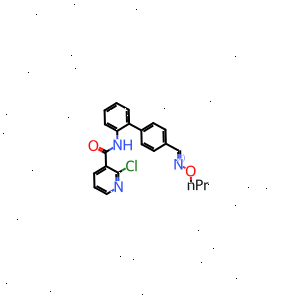 CCCO/N=C/c1ccc(-c2ccccc2NC(=O)c2cccnc2Cl)cc1